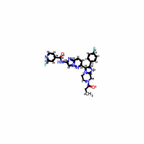 CCC(=O)N1CCn2c(nc(-c3ccc(F)cc3)c2-c2ccc3nc(NC(=O)c4ccnc(F)c4)cn3n2)C1